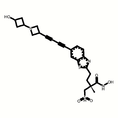 C[C@](CCc1nc2ccc(C#CC#CC3CN(C4CC(O)C4)C3)cc2s1)(C[SH](=O)=O)C(=O)NO